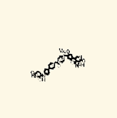 COc1cc(-c2cn(C)c(=O)c3[nH]ncc23)c(Cl)cc1CN1CCN(C(=O)CN2CCC(c3ccc(NC4CCC(=O)NC4=O)cc3)CC2)CC1